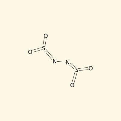 O=S(=O)=NN=S(=O)=O